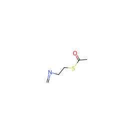 C=NCCSC(C)=O